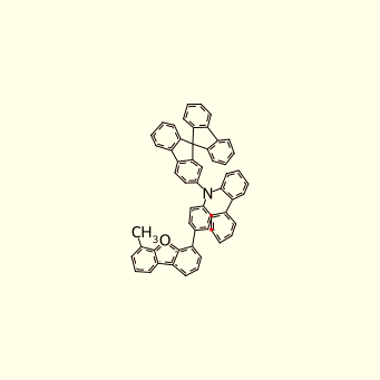 Cc1cccc2c1oc1c(-c3ccc(N(c4ccc5c(c4)C4(c6ccccc6-c6ccccc64)c4ccccc4-5)c4ccccc4-c4ccccc4)cc3)cccc12